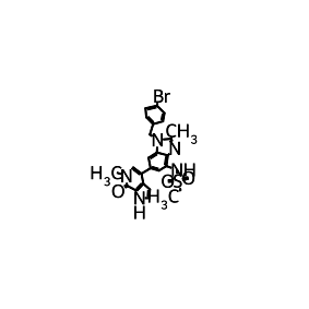 CCS(=O)(=O)Nc1cc(-c2cn(C)c(=O)c3[nH]ccc23)cc2c1nc(C)n2Cc1ccc(Br)cc1